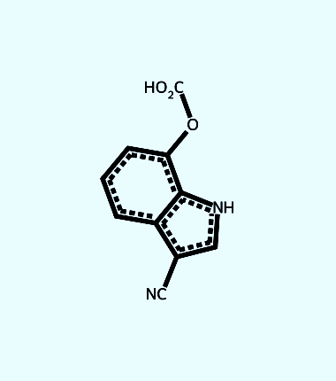 N#Cc1c[nH]c2c(OC(=O)O)cccc12